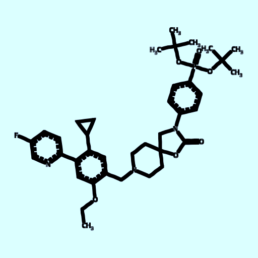 CCOc1cc(-c2ccc(F)cn2)c(C2CC2)cc1CN1CCC2(CC1)CN(c1ccc(P(=O)(OC(C)(C)C)OC(C)(C)C)cc1)C(=O)O2